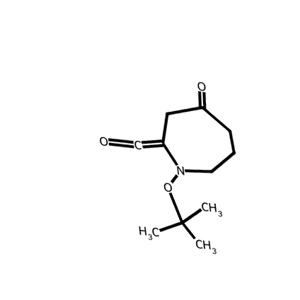 CC(C)(C)ON1CCCC(=O)CC1=C=O